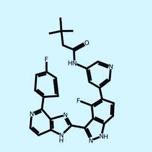 CC(C)(C)CC(=O)Nc1cncc(-c2ccc3[nH]nc(-c4nc5c(-c6ccc(F)cc6)nccc5[nH]4)c3c2F)c1